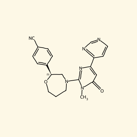 Cn1c(N2CCCO[C@@H](c3ccc(C#N)cc3)C2)nc(-c2ccncn2)cc1=O